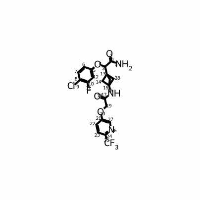 NC(=O)C(Oc1ccc(Cl)c(F)c1)C12CC(NC(=O)COc3ccc(C(F)(F)F)nc3)(C1)C2